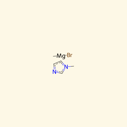 Cn1ccnc1.[CH3][Mg][Br]